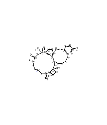 CN1C/C=C/C[C@H](O)[C@@H]2CC[C@H]2CN2CCCCc3cc(Cl)ccc3COc3ccc(cc32)[C@](O)(C(=O)O)CC1=O